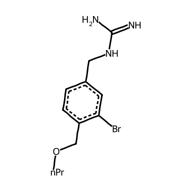 CCCOCc1ccc(CNC(=N)N)cc1Br